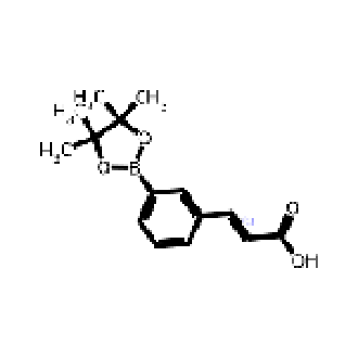 CC1(C)OB(c2cccc(/C=C/C(=O)O)c2)OC1(C)C